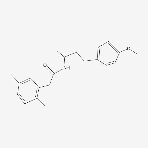 COc1ccc(CCC(C)NC(=O)Cc2cc(C)ccc2C)cc1